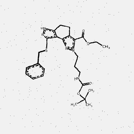 CCOC(=O)c1c2c(nn1CCCNC(=O)OC(C)(C)C)-c1c(SCc3ccccc3)n[nH]c1CC2